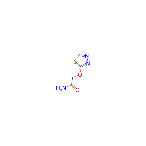 NC(=O)COc1nncs1